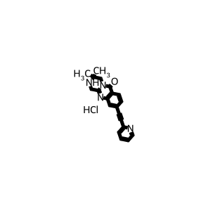 CC1(C)Cn2c(nc3cc(C#Cc4ccccn4)ccc3c2=O)CN1.Cl